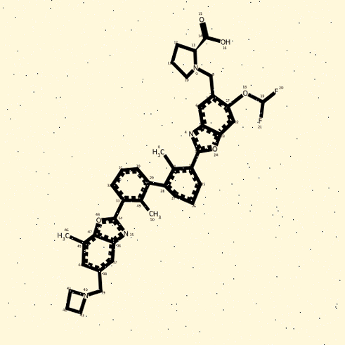 Cc1c(-c2nc3cc(CN4CCC[C@H]4C(=O)O)c(OC(F)F)cc3o2)cccc1-c1cccc(-c2nc3cc(CN4CCC4)cc(C)c3o2)c1C